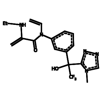 C=CN(C(=O)C(=C)NCC)c1cccc(C(O)(c2nncn2C)C(F)(F)F)c1